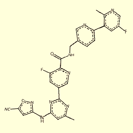 Cc1cc(Nc2cc(C#N)on2)nc(-c2cnc(C(=O)NCc3ccc(-c4cc(F)cnc4C)nc3)c(F)c2)n1